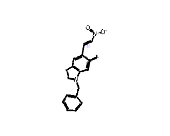 O=[N+]([O-])/C=C/c1cc2c(cc1F)N(Cc1ccccc1)CC2